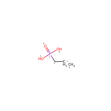 C.CCP(=O)(O)O